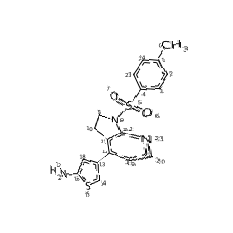 Cc1ccc(S(=O)(=O)N2CCc3c(-c4csc(N)c4)ccnc32)cc1